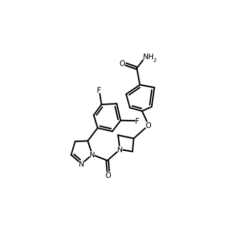 NC(=O)c1ccc(OC2CN(C(=O)N3N=CCC3c3cc(F)cc(F)c3)C2)cc1